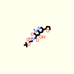 Cn1c(=O)c(C(=O)NCC(=O)OC(C)(C)C)c(O)c2cc(C3CCCO3)cnc21